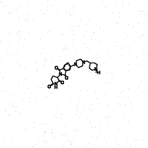 [2H]N1CCC(CN2CCN(c3ccc4c(c3)C(=O)N(C3CCC(=O)NC3=O)C4=O)CC2)CC1